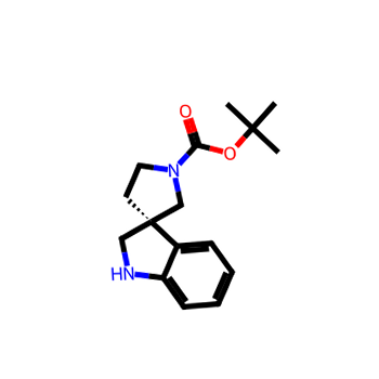 CC(C)(C)OC(=O)N1CC[C@]2(CNc3ccccc32)C1